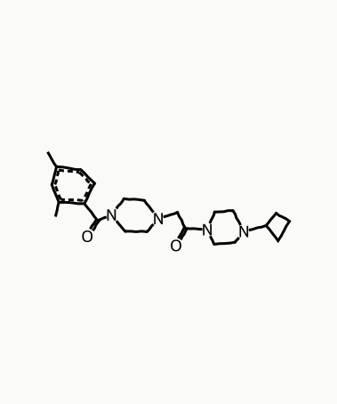 Cc1ccc(C(=O)N2CCN(CC(=O)N3CCN(C4CCC4)CC3)CC2)c(C)c1